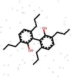 CCCc1ccc(CCC)c(-c2c(CCC)ccc(CCC)c2O)c1O